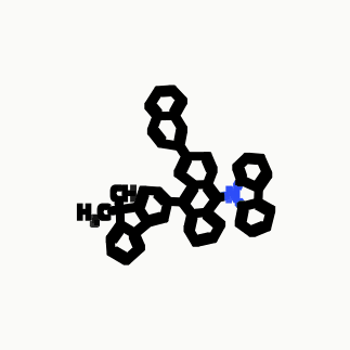 CC1(C)c2ccccc2-c2cc(-c3c4ccccc4c(-n4c5ccccc5c5ccccc54)c4ccc(-c5ccc6ccccc6c5)cc34)ccc21